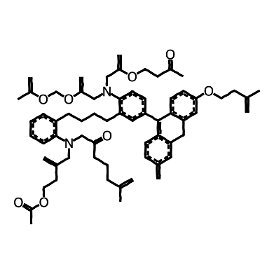 C=C(C)CCCC(=O)CN(CC(=C)CCOC(C)=O)c1ccccc1CCCCc1cc(C2=c3ccc(=C)cc3Cc3cc(OCCC(=C)C)ccc32)ccc1N(CC(=C)OCCC(C)=O)CC(=C)OCOC(=C)C